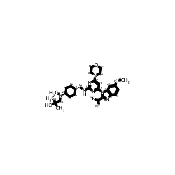 COc1ccc2nc(C(F)F)n(-c3cc(N4CCOCC4)nc(NC[C@H]4CC[C@H](N(C)CC(C)(C)O)CC4)n3)c2c1